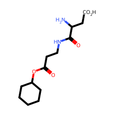 NC(CC(=O)O)C(=O)NCCC(=O)OC1CCCCC1